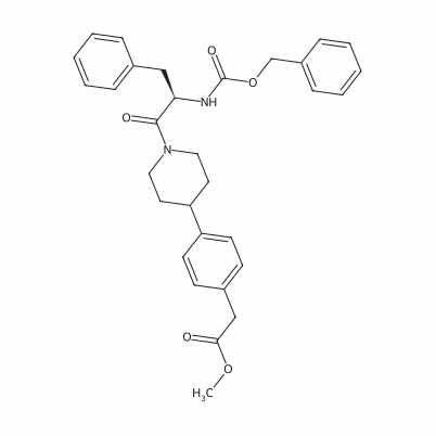 COC(=O)Cc1ccc(C2CCN(C(=O)[C@@H](Cc3ccccc3)NC(=O)OCc3ccccc3)CC2)cc1